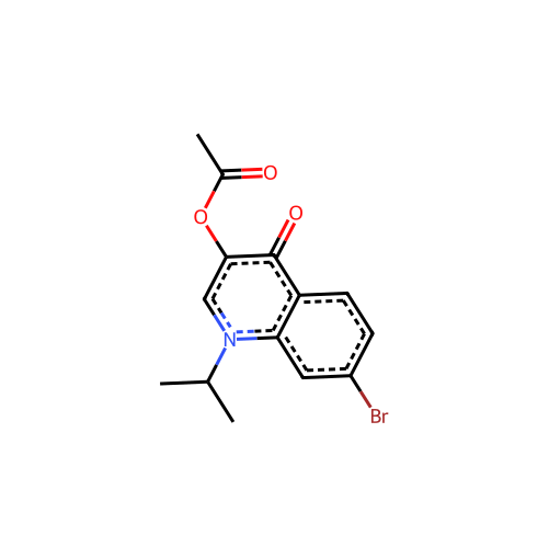 CC(=O)Oc1cn(C(C)C)c2cc(Br)ccc2c1=O